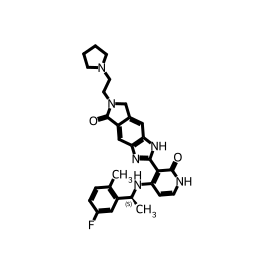 Cc1ccc(F)cc1[C@H](C)Nc1cc[nH]c(=O)c1-c1nc2cc3c(cc2[nH]1)CN(CCN1CCCC1)C3=O